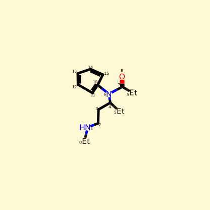 CCNCCC(CC)N(C(=O)CC)c1ccccc1